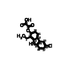 CCc1c(OC(=O)C(=O)O)ccc2c1[nH]c1ccc(Cl)cc12